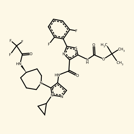 CC(C)(C)OC(=O)Nc1sc(-c2c(F)cccc2F)nc1C(=O)Nc1cnn(C2CC2)c1N1CCC[C@@H](NC(=O)C(F)(F)F)CC1